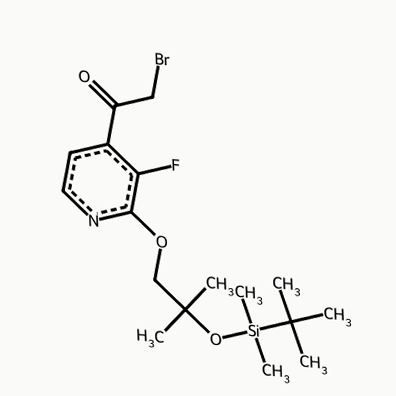 CC(C)(COc1nccc(C(=O)CBr)c1F)O[Si](C)(C)C(C)(C)C